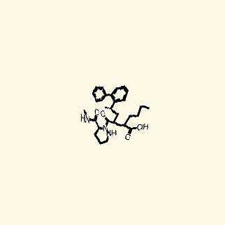 CCCCC(CC(C[C@@H](C)c1ccccc1-c1ccccc1)C(=O)N1NCCCC1C(=O)NC)C(=O)O